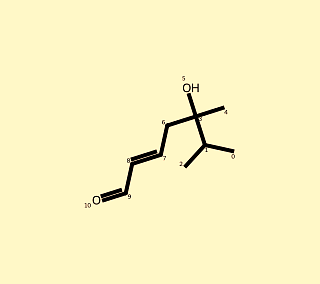 CC(C)C(C)(O)C/C=C/C=O